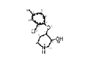 Cc1ccc(OC2CCNCC2O)c(Cl)c1